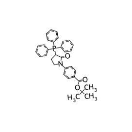 CC(C)(C)OC(=O)c1ccc(N2CCC([P](c3ccccc3)(c3ccccc3)c3ccccc3)C2=O)cc1